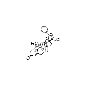 C[C@]12CCC(=O)C=C1CC[C@@H]1[C@@H]2[C@@H](O)C[C@@]2(C)[C@H]1CC[C@@]2(OC(=O)c1ccccc1)C(=O)CO